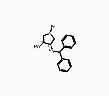 CCN1C[C@@H](O)[C@H](NC(c2ccccc2)c2ccccc2)C1